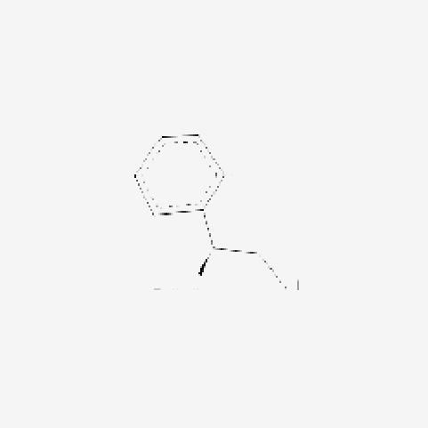 CCOC(=O)[C@H](C[NH])c1ccccc1